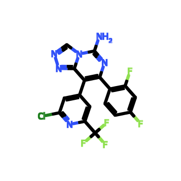 Nc1nc(-c2ccc(F)cc2F)c(-c2cc(Cl)nc(C(F)(F)F)c2)c2nncn12